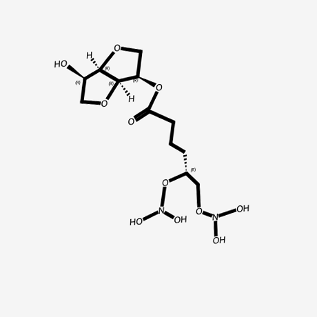 O=C(CCC[C@H](CON(O)O)ON(O)O)O[C@@H]1CO[C@H]2[C@@H]1OC[C@H]2O